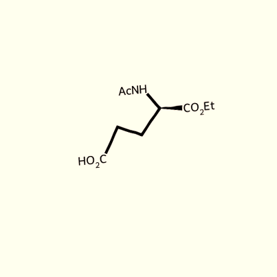 CCOC(=O)[C@@H](CCC(=O)O)NC(C)=O